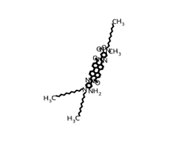 CCCCCCCCCCCCN(C)c1cc2nc3c4ccc5c6ccc7c(=O)n8c9cc(N)c(N(CCCCCCCCCCCC)CCCCCCCCCCCC)cc9nc8c8ccc(c9ccc(c(=O)n3c2cc1[N+](=O)[O-])c4c95)c6c78